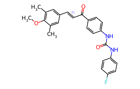 COc1c(C)cc(/C=C/C(=O)c2ccc(NC(=O)Nc3ccc(F)cc3)cc2)cc1C